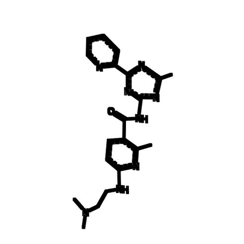 Cc1nc(NC(=O)c2ccc(NCCN(C)C)nc2C)nc(-c2ccccn2)n1